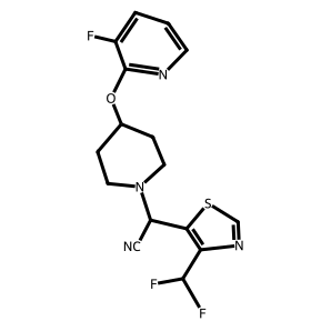 N#CC(c1scnc1C(F)F)N1CCC(Oc2ncccc2F)CC1